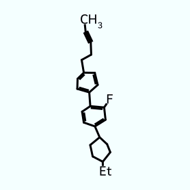 CC#CCCc1ccc(-c2ccc(C3CCC(CC)CC3)cc2F)cc1